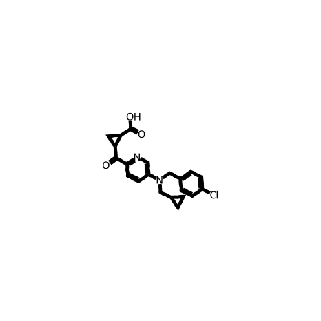 O=C(O)C1CC1C(=O)c1ccc(N(Cc2ccc(Cl)cc2)CC2CC2)cn1